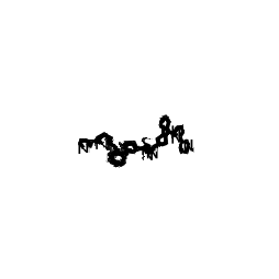 C1=CC(c2cccc(-n3c4ccccc4c4cc(-c5nnc(-c6ccc7c(c6)c6ccccc6n7-c6cccc(-c7cccnc7)n6)s5)ccc43)n2)CN=C1